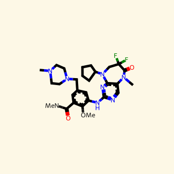 CNC(=O)c1cc(CN2CCN(C)CC2)cc(Nc2ncc3c(n2)N(C2CCCC2)CC(F)(F)C(=O)N3C)c1OC